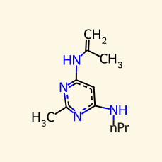 C=C(C)Nc1cc(NCCC)nc(C)n1